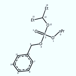 CCCOP(=O)(OCc1ccccc1)OC(CC)CC